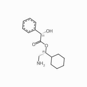 NC[C@H](OC(=O)[C@@H](O)c1ccccc1)C1CCCCC1